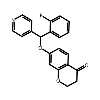 O=C1CCOc2cc(OC(c3ccncc3)c3ccccc3F)ccc21